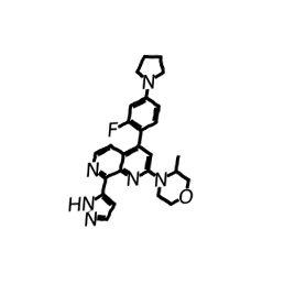 CC1COCCN1c1cc(-c2ccc(N3CCCC3)cc2F)c2ccnc(-c3ccn[nH]3)c2n1